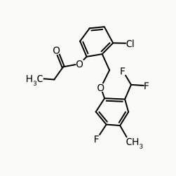 CCC(=O)Oc1cccc(Cl)c1COc1cc(F)c(C)cc1C(F)F